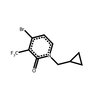 O=c1c(C(F)(F)F)c(Br)ccn1CC1CC1